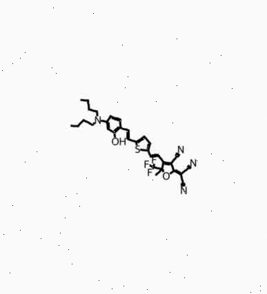 CCCCN(CCCC)c1ccc(/C=C/c2ccc(/C=C/C3=C(C#N)C(=C(C#N)C#N)OC3(C)C(F)(F)F)s2)c(O)c1